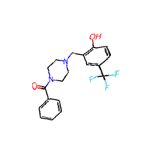 O=C(c1ccccc1)N1CCN(Cc2cc(C(F)(F)F)ccc2O)CC1